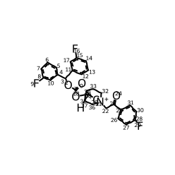 O=C(OC(c1cccc(F)c1)c1cccc(F)c1)O[C@H]1C[N+]2(CC(=O)c3ccc(F)cc3)CCC1CC2